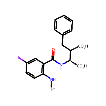 CC(C)Nc1ccc(I)cc1C(=O)N[C@H](C(=O)O)C(Cc1ccccc1)C(=O)O